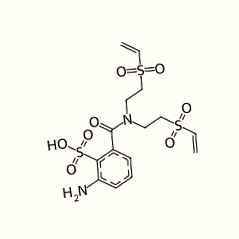 C=CS(=O)(=O)CCN(CCS(=O)(=O)C=C)C(=O)c1cccc(N)c1S(=O)(=O)O